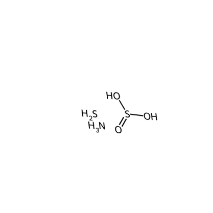 N.O=S(O)O.S